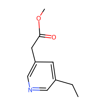 CCc1cncc(CC(=O)OC)c1